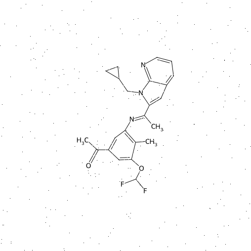 CC(=O)c1cc(/N=C(\C)c2cc3cccnc3n2CC2CC2)c(C)c(OC(F)F)c1